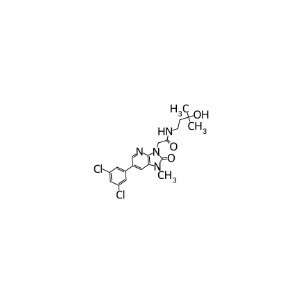 Cn1c(=O)n(CC(=O)NCCC(C)(C)O)c2ncc(-c3cc(Cl)cc(Cl)c3)cc21